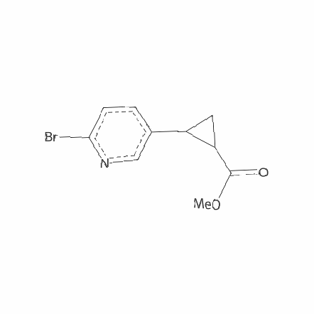 COC(=O)C1CC1c1ccc(Br)nc1